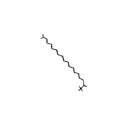 CC(C)CCCCCCCCCCCCCCCC(C)C(C)(C)C